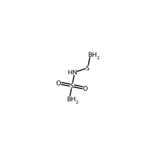 BSNS(B)(=O)=O